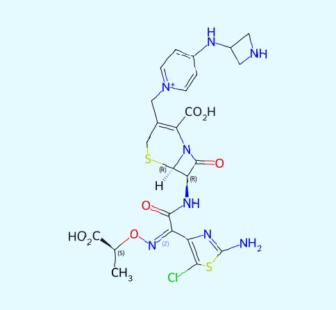 C[C@H](O/N=C(\C(=O)N[C@@H]1C(=O)N2C(C(=O)O)=C(C[n+]3ccc(NC4CNC4)cc3)CS[C@H]12)c1nc(N)sc1Cl)C(=O)O